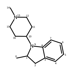 CC1Cc2ccccc2N1C1CCN(C)CC1